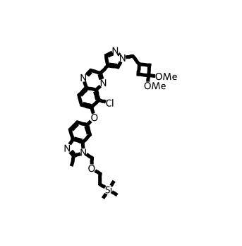 COC1(OC)CC(Cn2cc(-c3cnc4ccc(Oc5ccc6nc(C)n(COCC[Si](C)(C)C)c6c5)c(Cl)c4n3)cn2)C1